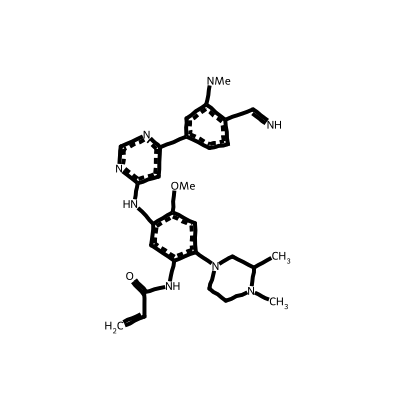 C=CC(=O)Nc1cc(Nc2cc(-c3ccc(C=N)c(NC)c3)ncn2)c(OC)cc1N1CCN(C)C(C)C1